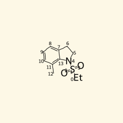 CCS(=O)(=O)N1CCc2cccc(C)c21